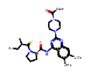 COC(=O)N1CCN(c2nc(NC(=O)[C@H]3CCCN3C(=S)C(C)CC(C)=O)c3cc(OC)c(OC)cc3n2)CC1